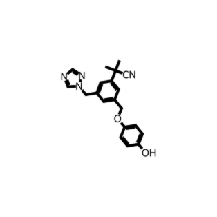 CC(C)(C#N)c1cc(COc2ccc(O)cc2)cc(Cn2cncn2)c1